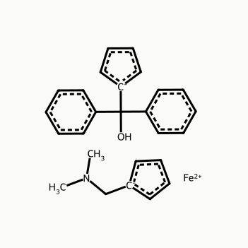 CN(C)C[c-]1cccc1.OC(c1ccccc1)(c1ccccc1)[c-]1cccc1.[Fe+2]